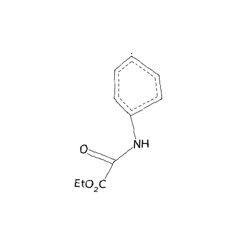 CCOC(=O)C(=O)Nc1cc[c]cc1